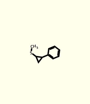 CSC1CC1c1ccccc1